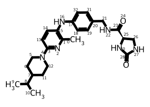 Cc1nc(N2CCC(C(C)C)CC2)ccc1Nc1ccc(CNC(=O)[C@H]2CNC(=O)N2)cc1